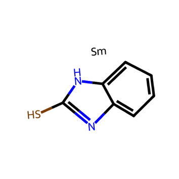 Sc1nc2ccccc2[nH]1.[Sm]